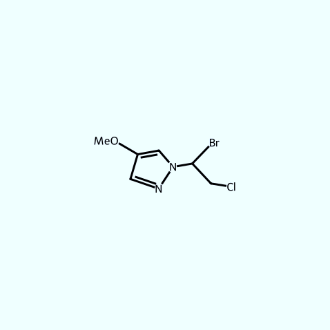 COc1cnn(C(Br)CCl)c1